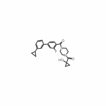 O=C(c1ccc(-c2cccc(C3CC3)c2)cc1F)N1CCN(C(=O)C2(O)CC2)CC1